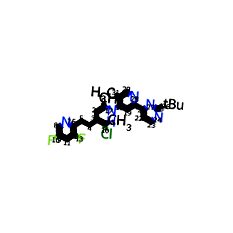 C/C(=C/C(CCc1ncc(F)cc1F)=C(\C)Cl)Nc1cc(-c2ccnc(C(C)(C)C)n2)ncc1C